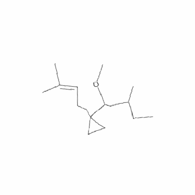 CCC(C)C(OC)C1(CC=C(C)C)CC1